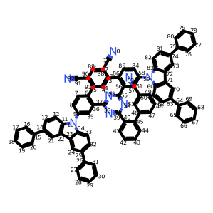 N#Cc1ccc(-c2ccc(-n3c4ccc(-c5ccccc5)cc4c4cc(-c5ccccc5)ccc43)cc2-c2nc(-c3ccccc3-c3cccc(C#N)c3)nc(-c3cc(-n4c5ccc(-c6ccccc6)cc5c5cc(-c6ccccc6)ccc54)ccc3-c3ccc(C#N)cc3)n2)cc1